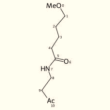 COCCCCC(=O)NCCC(C)=O